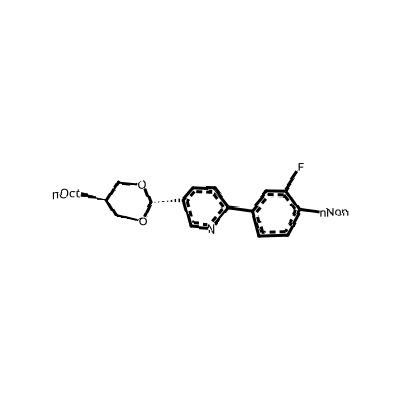 CCCCCCCCCc1ccc(-c2ccc([C@H]3OC[C@H](CCCCCCCC)CO3)cn2)cc1F